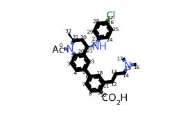 CC(=O)N1c2ccc(-c3ccc(C(=O)O)c(CCCN(C)C)c3)cc2[C@H](Nc2ccc(Cl)cc2)C[C@@H]1C